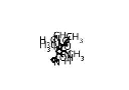 CCOC(=O)c1c(CN(C)C)n(C)c2cc(-c3cccnc3)c(O)c(CNC)c12